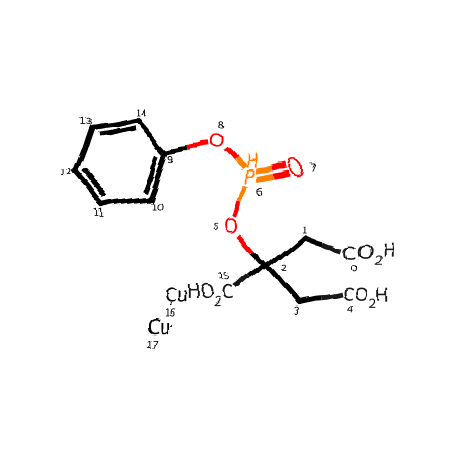 O=C(O)CC(CC(=O)O)(O[PH](=O)Oc1ccccc1)C(=O)O.[Cu].[Cu]